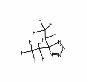 FC(F)(F)C(F)(F)C1(C(F)(F)C(F)(F)F)N=NN=N1